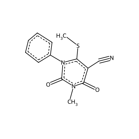 CSc1c(C#N)c(=O)n(C)c(=O)n1-c1ccccc1